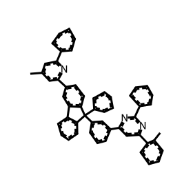 Cc1cc(-c2ccccc2)nc(-c2ccc3c(c2)-c2ccccc2C3(c2ccccc2)c2cccc(-c3cc(-c4ccccc4C)nc(-c4ccccc4)n3)c2)c1